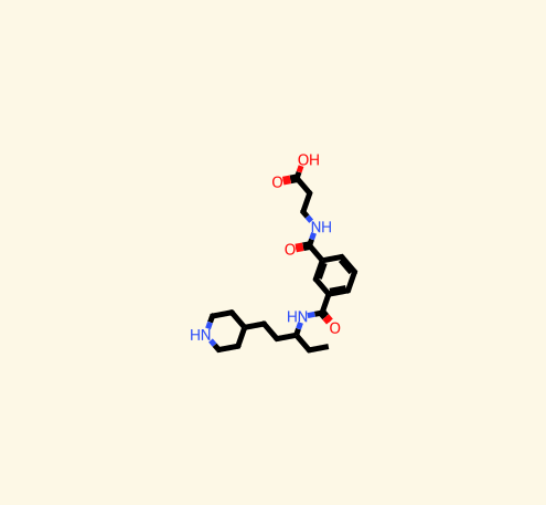 CCC(CCC1CCNCC1)NC(=O)c1cccc(C(=O)NCCC(=O)O)c1